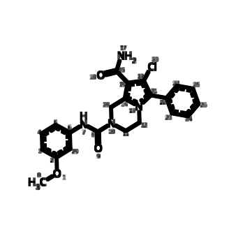 COc1cccc(NC(=O)N2CCn3c(c(C(N)=O)c(Cl)c3-c3ccccc3)C2)c1